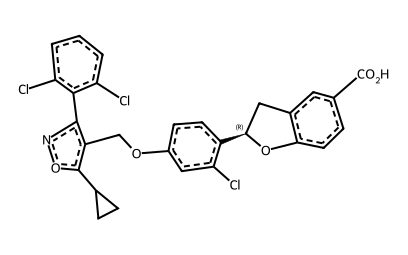 O=C(O)c1ccc2c(c1)C[C@H](c1ccc(OCc3c(-c4c(Cl)cccc4Cl)noc3C3CC3)cc1Cl)O2